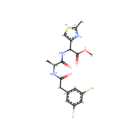 COC(=O)C(NC(=O)[C@H](C)NC(=O)Cc1cc(F)cc(F)c1)c1csc(C)n1